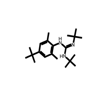 Cc1cc(C(C)(C)C)cc(C)c1N/C(=N\C(C)(C)C)NC(C)(C)C